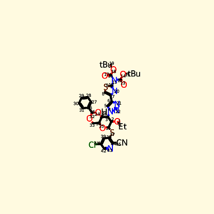 CCOC1C(n2cc(-c3csc(N(C(=O)OC(C)(C)C)C(=O)OC(C)(C)C)n3)nn2)[C@H]2OC(c3ccccc3)OCC2O[C@@H]1Sc1cc(Cl)cnc1C#N